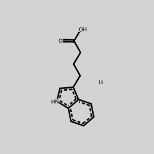 O=C(O)CCCc1c[nH]c2ccccc12.[Li]